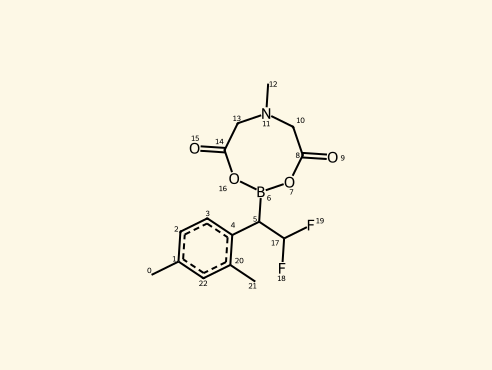 Cc1ccc(C(B2OC(=O)CN(C)CC(=O)O2)C(F)F)c(C)c1